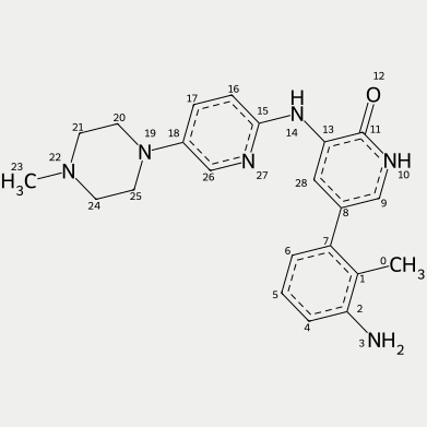 Cc1c(N)cccc1-c1c[nH]c(=O)c(Nc2ccc(N3CCN(C)CC3)cn2)c1